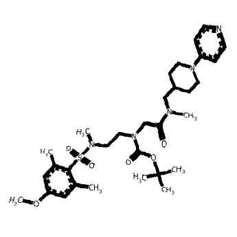 COc1cc(C)c(S(=O)(=O)N(C)CCN(CC(=O)N(C)CC2CCN(c3ccncc3)CC2)C(=O)OC(C)(C)C)c(C)c1